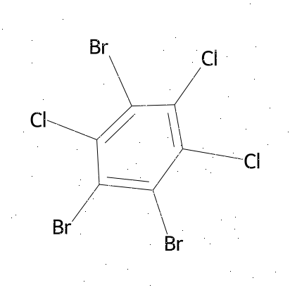 Clc1c(Cl)c(Br)c(Br)c(Cl)c1Br